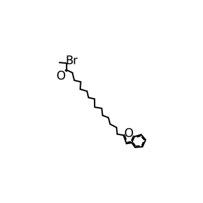 CC(Br)C(=O)CCCCCCCCCCCCCCc1cc2ccccc2o1